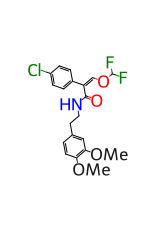 COc1ccc(CCNC(=O)/C(=C\OC(F)F)c2ccc(Cl)cc2)cc1OC